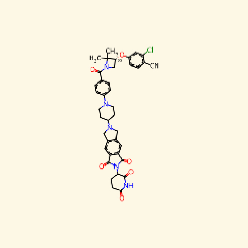 CC1(C)[C@H](Oc2ccc(C#N)c(Cl)c2)CN1C(=O)c1ccc(N2CCC(N3Cc4cc5c(cc4C3)C(=O)N(C3CCC(=O)NC3=O)C5=O)CC2)cc1